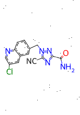 N#Cc1nc(C(N)=O)nn1Cc1ccc2ncc(Cl)cc2c1